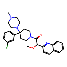 COC(C(=O)N1CCC(c2cccc(F)c2)(N2CCN(C)CC2)CC1)c1ccc2ccccc2n1